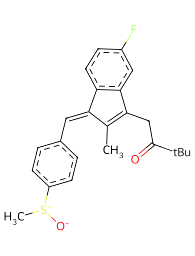 CC1=C(CC(=O)C(C)(C)C)c2cc(F)ccc2/C1=C/c1ccc([S+](C)[O-])cc1